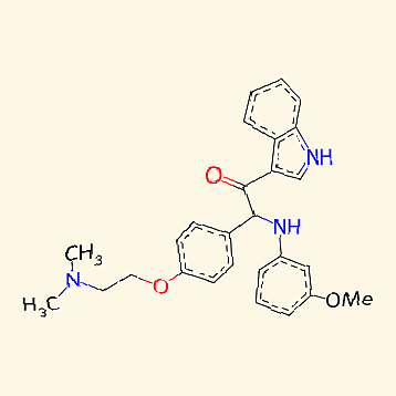 COc1cccc(NC(C(=O)c2c[nH]c3ccccc23)c2ccc(OCCN(C)C)cc2)c1